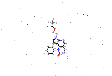 C[Si](C)(C)CCOCn1ccc2c3c(cnc21)CNC(=O)N3C1CCCCC1